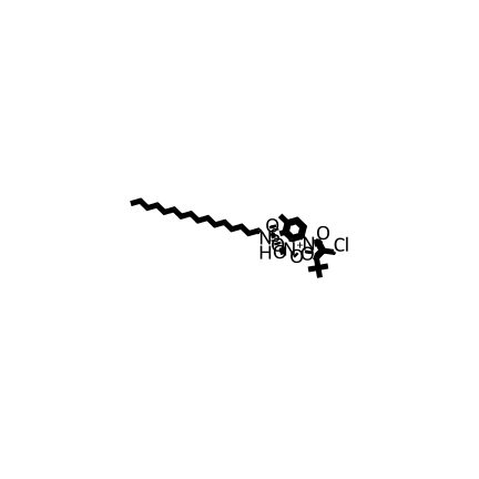 CCCCCCCCCCCCCCCCNS(=O)(=O)c1c(C)ccc(-n2oc(C(C)(C)C)c(CCl)c2=O)c1[N+](=O)[O-]